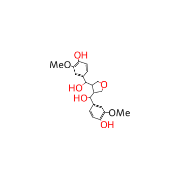 COc1cc(C(O)C2COCC2C(O)c2ccc(O)c(OC)c2)ccc1O